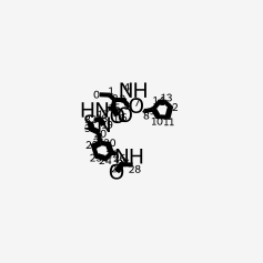 CCC(C(=N)C(=O)OCc1ccccc1)C(=O)Nc1nc(-c2cccc(NC(C)=O)c2)cs1